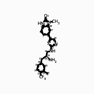 Cn1c(=O)[nH]c2ccc(-c3cnc(NC[C@@H](N)Cc4ccc(C(F)(F)F)c(F)c4)s3)cc21